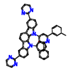 CC1C=C(c2cc(-n3c4ccc(-c5ncccn5)cc4c4ccc5c6cc(-c7ncccn7)ccc6n(-c6ccccc6)c5c43)cc(-c3ccccc3)n2)C=CC1